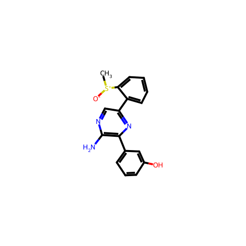 C[S+]([O-])c1ccccc1-c1cnc(N)c(-c2cccc(O)c2)n1